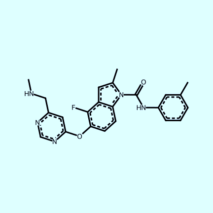 CNCc1cc(Oc2ccc3c(cc(C)n3C(=O)Nc3cccc(C)c3)c2F)ncn1